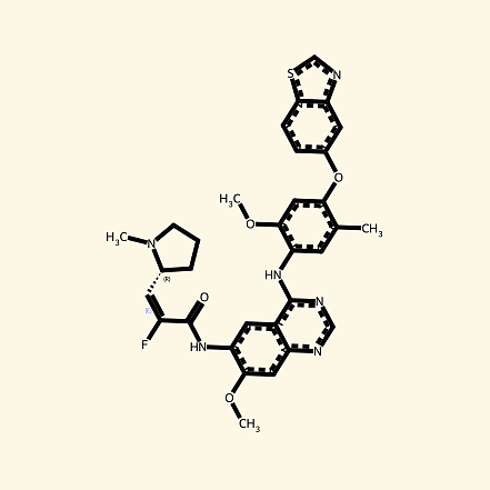 COc1cc2ncnc(Nc3cc(C)c(Oc4ccc5scnc5c4)cc3OC)c2cc1NC(=O)/C(F)=C\[C@H]1CCCN1C